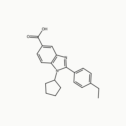 CCc1ccc(-c2nc3cc(C(=O)O)ccc3n2C2CCCC2)cc1